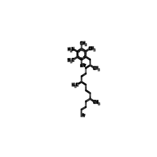 CCCc1c(C)c(N)c(C)c(C)c1CC(C)CCCC(C)CCCC(C)CCCC(C)C